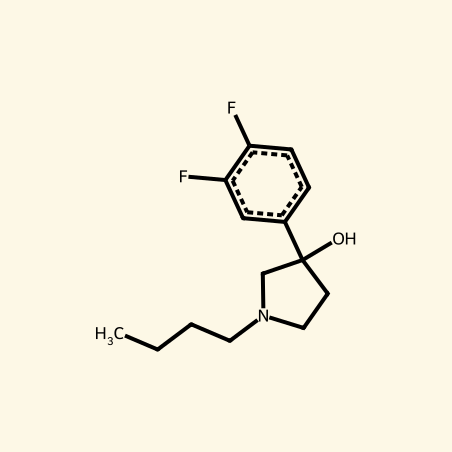 CCCCN1CCC(O)(c2ccc(F)c(F)c2)C1